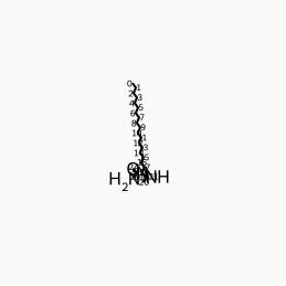 CCCCCCCCCCCCCCCCCCN(C(C)=N)C(N)=O